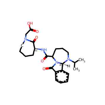 CC(C)N1CCCC(C(=O)N[C@H]2CCCCN(CC(=O)O)C2=O)N2C(=O)c3ccccc3[C@H]12